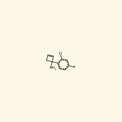 NC1(c2ccc(F)cc2Cl)C=CC1